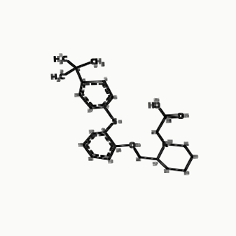 CC(C)(C)c1ccc(Sc2ccccc2OCC2CCCCN2CC(=O)O)cc1